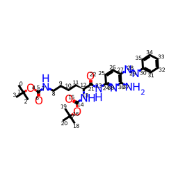 CC(C)(C)OC(=O)NCCCC[C@H](NC(=O)OC(C)(C)C)C(=O)Nc1ccc(/N=N/c2ccccc2)c(N)n1